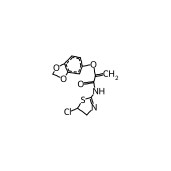 C=C(Oc1ccc2c(c1)OCO2)C(=O)NC1=NCC(Cl)S1